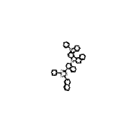 c1ccc(-c2nc(-c3ccc4ccccc4c3)nc(-c3ccc(-n4c5ccc6ccccc6c5c5c6c7ccccc7n(-c7ccccc7)c6ccc54)c4ccccc34)n2)cc1